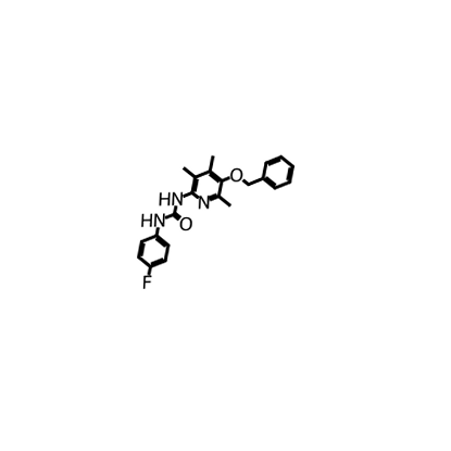 Cc1nc(NC(=O)Nc2ccc(F)cc2)c(C)c(C)c1OCc1ccccc1